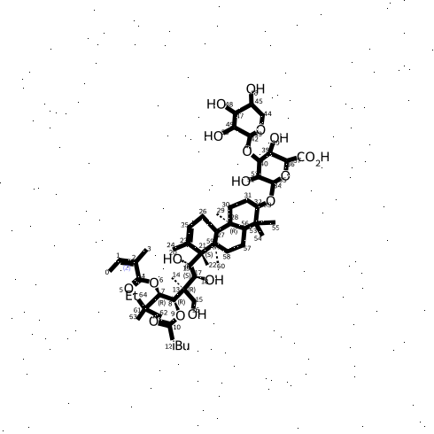 C/C=C(/C)C(=O)O[C@@H]([C@H](OC(=O)C(C)CC)[C@](C)(CO)[C@H](O)[C@H](O)[C@]1(C)C(C)=CCC2[C@@]3(C)CCC(OC4OC(C(=O)O)C(O)C(OC5OCC(O)C(O)C5O)C4O)C(C)(C)C3CC[C@]21C)C(C)(C)CC